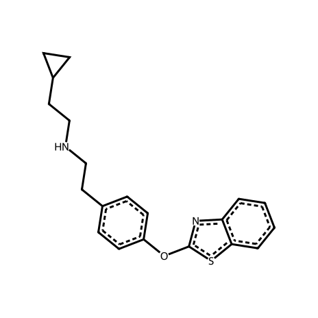 c1ccc2sc(Oc3ccc(CCNCCC4CC4)cc3)nc2c1